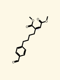 COC(=O)/C=C(/CCCCc1ccc(C=O)cc1)C(=O)OC